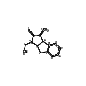 C=C1C(=O)N(CC#N)C2Cc3ccccc3C12